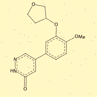 COc1ccc(-c2cn[nH]c(=O)c2)cc1OC1CCOC1